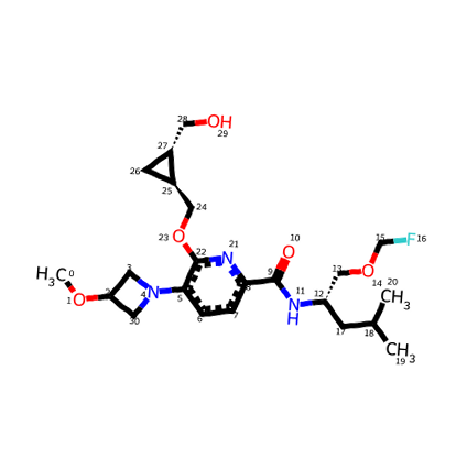 COC1CN(c2ccc(C(=O)N[C@H](COCF)CC(C)C)nc2OC[C@H]2C[C@@H]2CO)C1